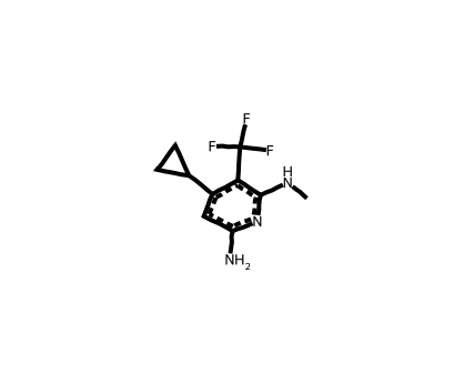 CNc1nc(N)cc(C2CC2)c1C(F)(F)F